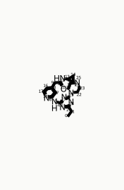 CCc1nc(Nc2cc(CC(=O)NC3CC3)ccn2)nc(N2CCN(C)CC2)n1